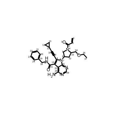 C=CC(=O)N1CC(n2c(C#CC3CC3)c(C(=O)NCc3ccccc3)c3c(N)ncnc32)CC1COCC